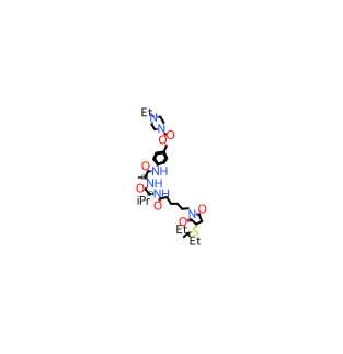 CCN1CCN(C(=O)OCc2ccc(NC(=O)[C@H](C)NC(=O)[C@@H](NC(=O)CCCCCN3C(=O)CC(SC(C)(CC)CC)C3=O)C(C)C)cc2)CC1